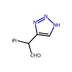 CC(C)C(C=O)c1c[nH]nn1